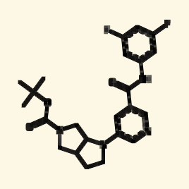 CC(C)(C)OC(=O)N1CC2CCN(c3cncc(C(=O)Nc4cc(F)cc(F)c4)c3)C2C1